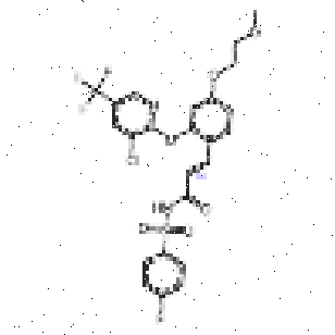 COCCOc1ccc(/C=C/C(=O)NS(=O)(=O)c2ccc(F)cc2)c(Oc2ncc(C(F)(F)F)cc2Cl)c1